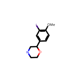 COc1ccc(C2C[N]CCO2)cc1I